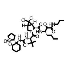 CCCC[C@H](NC(=O)[C@@H]1[C@@H]2[C@H](CN1C(=O)[C@@H](NC(=O)NC1([C@H]3CCCS3(=O)=O)CCCCC1)C(C)(C)C)C2(Cl)Cl)C(=O)C(=O)NCCC